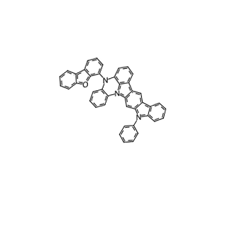 c1ccc(-n2c3ccccc3c3cc4c5cccc6c5n(c4cc32)-c2ccccc2N6c2cccc3c2oc2ccccc23)cc1